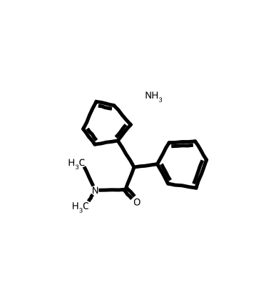 CN(C)C(=O)C(c1ccccc1)c1ccccc1.N